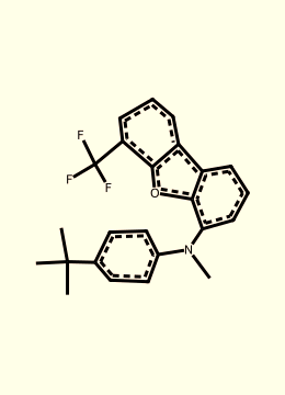 CN(c1ccc(C(C)(C)C)cc1)c1cccc2c1oc1c(C(F)(F)F)cccc12